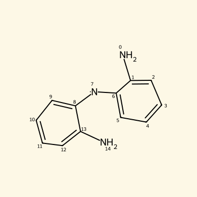 Nc1ccccc1[N]c1ccccc1N